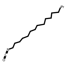 CC(C)CCCCCCCCCCCCCN=C=O